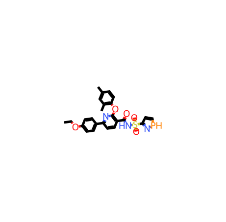 CCOc1ccc(-c2ccc(C(=O)NS(=O)(=O)c3cc[pH]n3)c(Oc3ccc(C)cc3C)n2)cc1